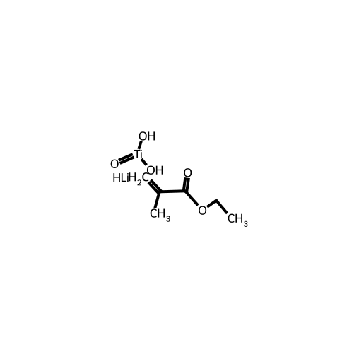 C=C(C)C(=O)OCC.[LiH].[O]=[Ti]([OH])[OH]